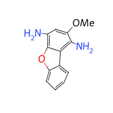 COc1cc(N)c2oc3ccccc3c2c1N